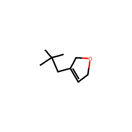 CC(C)(C)CC1=CCOC1